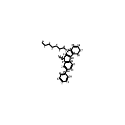 CCCCCCCn1c2c(c3c4ccc(-c5ccccc5)cc4n(C)c31)CCC=C2